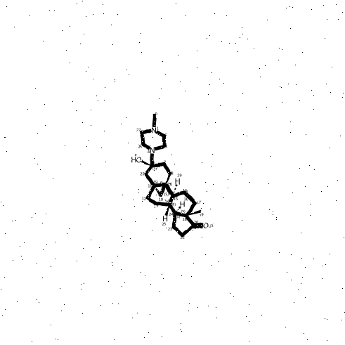 CN1CCN([C@]2(O)CC[C@@]34C[C@@]3(CC[C@@H]3[C@@H]4CC[C@]4(C)C(=O)CC[C@@H]34)C2)CC1